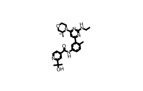 CCNc1nc(-c2cc(NC(=O)c3ccnc(C(C)(C)O)c3)ccc2C)cc(N2CCOC[C@@H]2C)n1